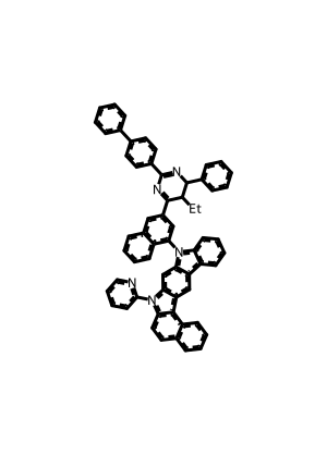 CCC1C(c2cc(-n3c4ccccc4c4cc5c6c7ccccc7ccc6n(-c6ccccn6)c5cc43)c3ccccc3c2)=NC(c2ccc(-c3ccccc3)cc2)=NC1c1ccccc1